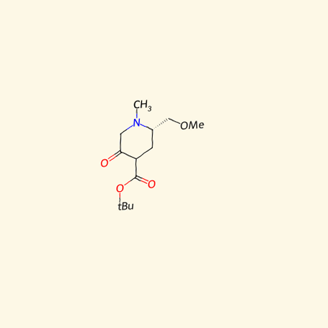 COC[C@@H]1CC(C(=O)OC(C)(C)C)C(=O)CN1C